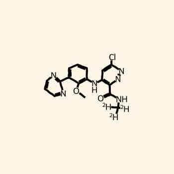 [2H]C([2H])([2H])NC(=O)c1nnc(Cl)cc1Nc1cccc(-c2ncccn2)c1OC